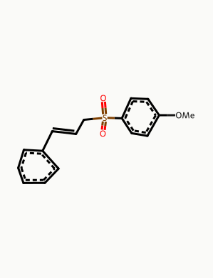 COc1ccc(S(=O)(=O)C/C=C/c2ccccc2)cc1